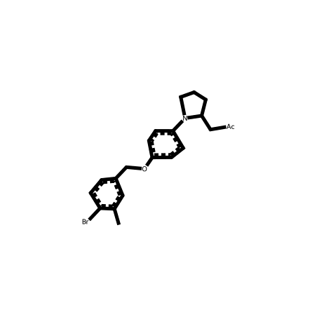 CC(=O)CC1CCCN1c1ccc(OCc2ccc(Br)c(C)c2)cc1